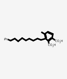 Cc1ccc(C(=O)O)c(C(=O)O)c1CCCCCCCCCC(C)C